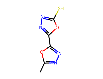 Cc1nnc(-c2nnc(S)o2)o1